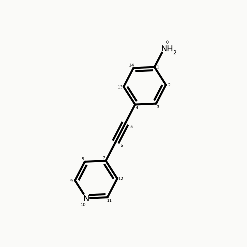 Nc1ccc(C#Cc2ccncc2)cc1